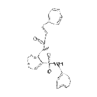 O=C(C=Cc1ccccc1)Nc1ccccc1S(=O)(=O)Nc1ccccc1